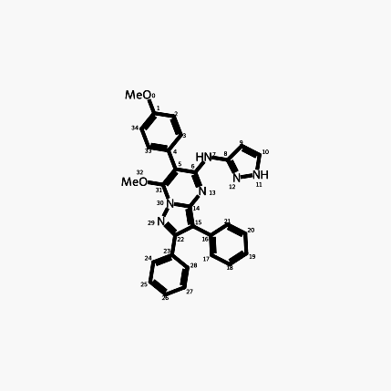 COc1ccc(-c2c(Nc3cc[nH]n3)nc3c(-c4ccccc4)c(-c4ccccc4)nn3c2OC)cc1